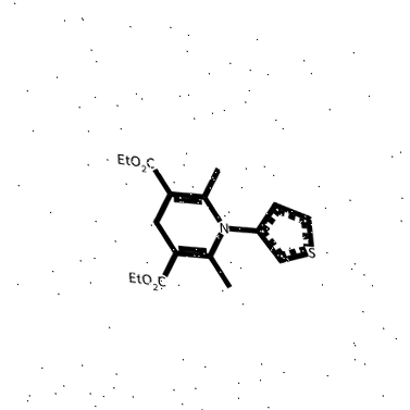 CCOC(=O)C1=C(C)N(c2ccsc2)C(C)=C(C(=O)OCC)C1